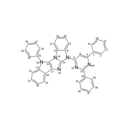 c1ccc(-c2cc(-n3c4ccccc4n4c3nc3c5ccccc5n(-c5ccccc5)c34)nc(-c3ccccc3)n2)cc1